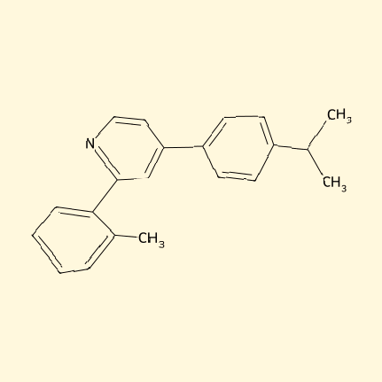 Cc1ccccc1-c1cc(-c2ccc(C(C)C)cc2)ccn1